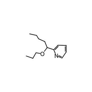 CCCCC(OCCC)c1ccccn1